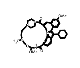 COc1ccc2c(c1)C=C1Cn3c-2c(C2CCCCC2)c2ccc(cc23)C(=O)NC(OC)OCN(C)CCN2CCN(CC2)C1=O